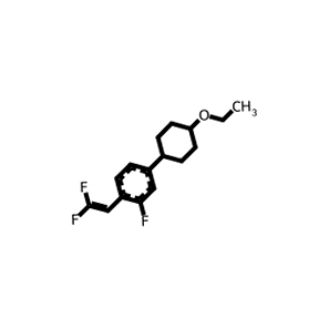 CCOC1CCC(c2ccc(C=C(F)F)c(F)c2)CC1